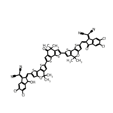 CC1(C)Oc2cc(/C=C3/C(=C(C#N)C#N)c4cc(Cl)c(Cl)cc4C3O)sc2-c2sc(-c3cc4c(s3)-c3sc(-c5cc6c(s5)-c5sc(/C=C7\C(=O)c8cc(Cl)c(Cl)cc8C7=C(C#N)C#N)cc5OC6(C)C)cc3C(C)(C)C4=O)cc21